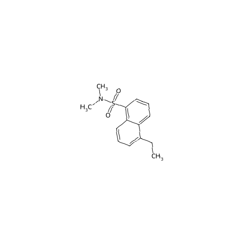 CCc1cccc2c(S(=O)(=O)N(C)C)cccc12